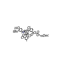 CCCCCCCCCCCCOC(=O)COC(=O)c1ccc(Cl)c(NC2=NN(c3c(Cl)cc(C)cc3Cl)C(=O)C2/N=N/c2ccc(O)c(C(C)(C)C)c2)c1